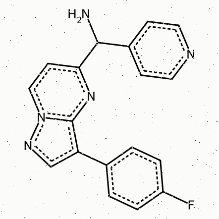 NC(c1ccncc1)c1ccn2ncc(-c3ccc(F)cc3)c2n1